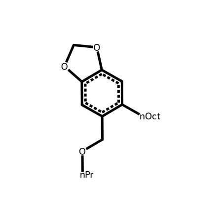 CCCCCCCCc1cc2c(cc1COCCC)OCO2